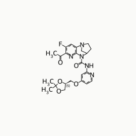 CC(=O)c1nc2c(cc1F)N1CCC(C1)N2C(=O)Nc1cc(OC[C@H]2COC(C)(C)O2)ccn1